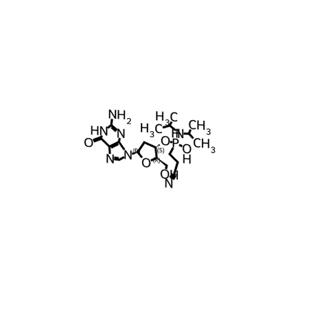 CC(C)N(C(C)C)[PH](O)(CCC#N)O[C@H]1C[C@H](n2cnc3c(=O)[nH]c(N)nc32)O[C@@H]1CO